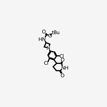 CC(C)(C)OC(=O)NC1CN(c2cc(Cl)c(C3CCC(=O)NC3=O)c(Cl)c2)C1